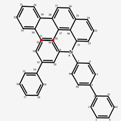 c1ccc(-c2ccc(N(c3cccc(-c4ccccc4)c3)c3cccc4ccc5c6ccccc6ccc5c34)cc2)cc1